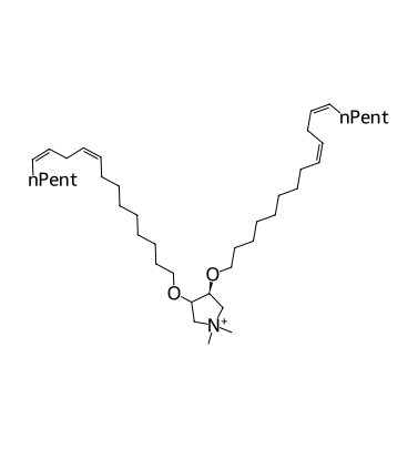 CCCCC/C=C\C/C=C\CCCCCCCCOC1C[N+](C)(C)C[C@@H]1OCCCCCCCC/C=C\C/C=C\CCCCC